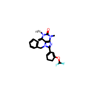 C=C1c2c(nc(C3=CCCC(OC(F)F)=C3)n2Cc2ccccc2)N(C)C(=O)N1CCC